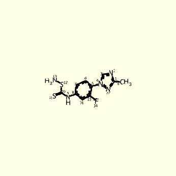 Cc1ncn(-c2ccc(NC(=S)SN)cc2F)n1